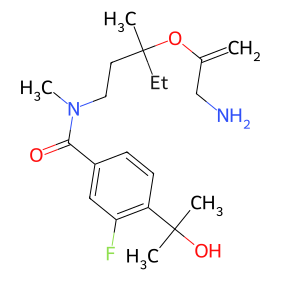 C=C(CN)OC(C)(CC)CCN(C)C(=O)c1ccc(C(C)(C)O)c(F)c1